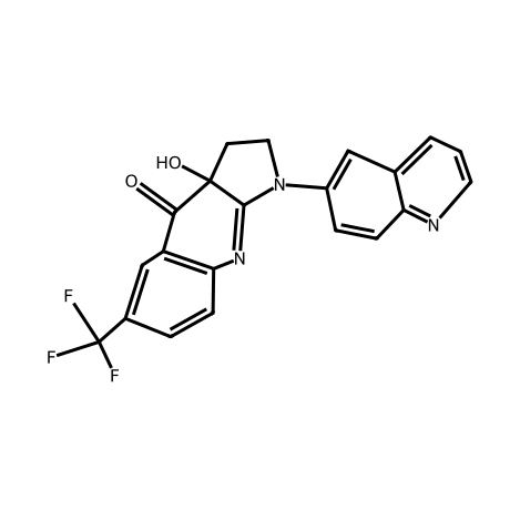 O=C1c2cc(C(F)(F)F)ccc2N=C2N(c3ccc4ncccc4c3)CCC12O